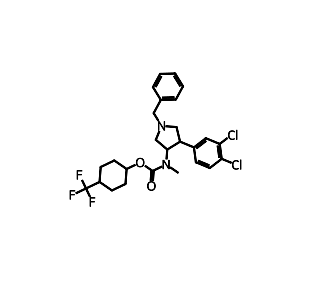 CN(C(=O)OC1CCC(C(F)(F)F)CC1)C1CN(Cc2ccccc2)CC1c1ccc(Cl)c(Cl)c1